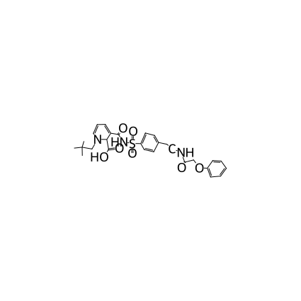 CC(C)(C)CN1C=CC=C(C(=O)NS(=O)(=O)c2ccc(CCNC(=O)COc3ccccc3)cc2)C1C(=O)O